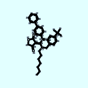 CCCCCCCN(Cc1ccc(C(C)(C)C)cc1)C(Nc1ccc(-c2ccccc2)cc1)=C1C(=O)COC1=O